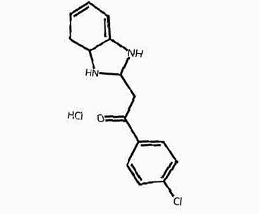 Cl.O=C(CC1NC2=CC=CCC2N1)c1ccc(Cl)cc1